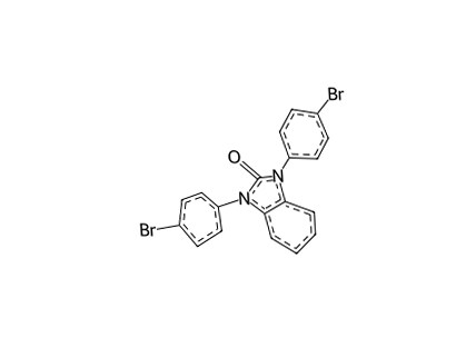 O=c1n(-c2ccc(Br)cc2)c2ccccc2n1-c1ccc(Br)cc1